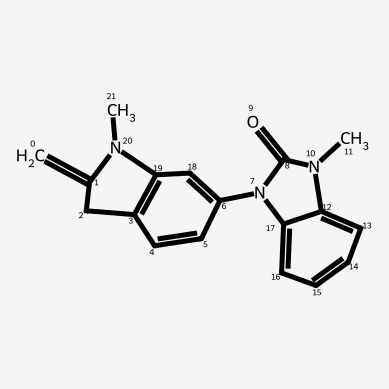 C=C1Cc2ccc(-n3c(=O)n(C)c4ccccc43)cc2N1C